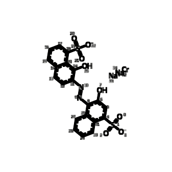 O=S(=O)([O-])c1cc(O)c(N=Nc2ccc3cccc(S(=O)(=O)[O-])c3c2O)c2ccccc12.[Cr].[Na+].[Na+]